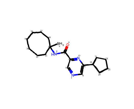 BC1(NC(=O)c2cncc(C3CCCC3)n2)CCCCCCC1